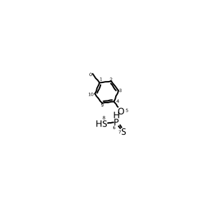 Cc1ccc(O[PH](=S)S)cc1